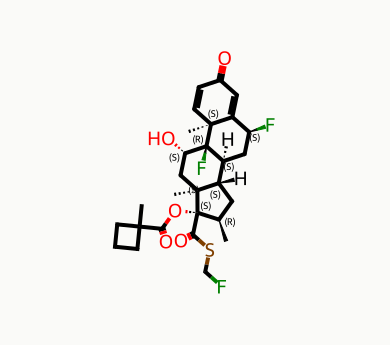 C[C@@H]1C[C@H]2[C@@H]3C[C@H](F)C4=CC(=O)C=C[C@]4(C)[C@@]3(F)[C@@H](O)C[C@]2(C)[C@]1(OC(=O)C1(C)CCC1)C(=O)SCF